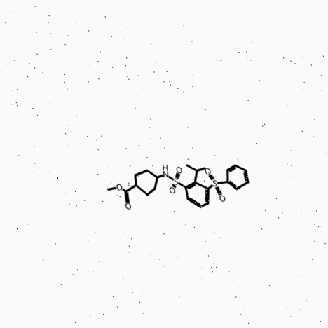 COC(=O)C1CCC(NS(=O)(=O)c2cccc(S(=O)(=O)c3ccccc3)c2C(C)C)CC1